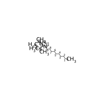 CCCCCCCCCC[n+]1ccn(C(C)C)c1C(C)C